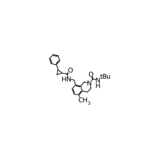 Cc1ccc(CNC(=O)C2CC2c2ccccc2)c2c1CCN(C(=O)NC(C)(C)C)C2